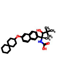 CC(C)(C)C(O)[C@](C)(NC(=O)O)c1ccc2cc(OC3CCC4(CCCCC4)CC3)ccc2c1